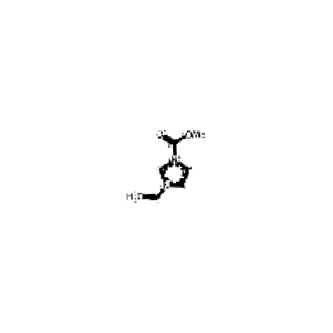 C=Cn1cc[n+](C(=O)OC)c1